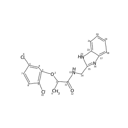 CC(Oc1cc(Cl)ccc1Cl)C(=O)NCc1nc2ccccc2[nH]1